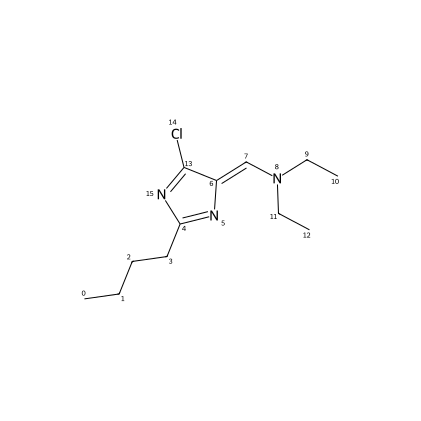 CCCCC1=NC(=CN(CC)CC)C(Cl)=N1